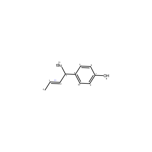 C/C=C/C(c1ccc(O)cc1)C(C)(C)C